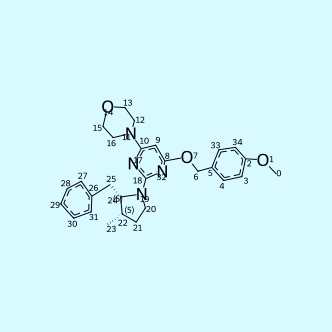 COc1ccc(COc2cc(N3CCOCC3)nc(N3CC[C@H](C)[C@@H]3Cc3ccccc3)n2)cc1